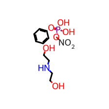 O=[N+]([O-])OP(=O)(O)O.OCCNCCO.c1ccccc1